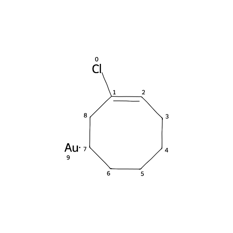 ClC1=CCCCCCC1.[Au]